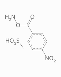 CS(=O)(=O)O.NOC(=O)c1ccc([N+](=O)[O-])cc1